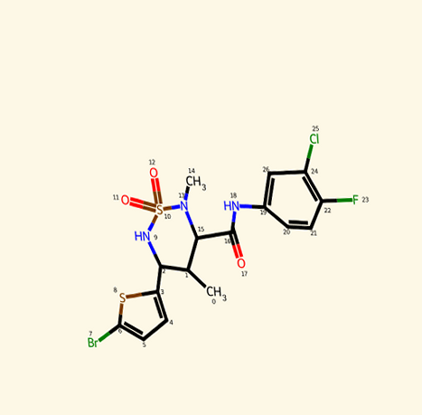 CC1C(c2ccc(Br)s2)NS(=O)(=O)N(C)C1C(=O)Nc1ccc(F)c(Cl)c1